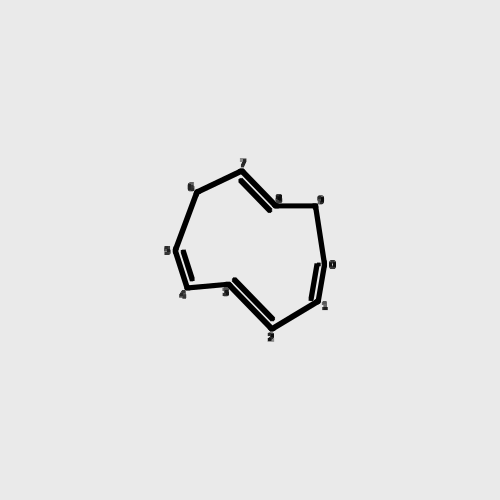 [C]1=C/C=C/C=C\C/C=C/C\1